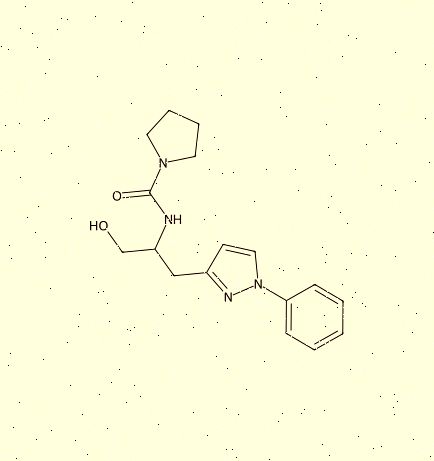 O=C(NC(CO)Cc1ccn(-c2ccccc2)n1)N1CCCC1